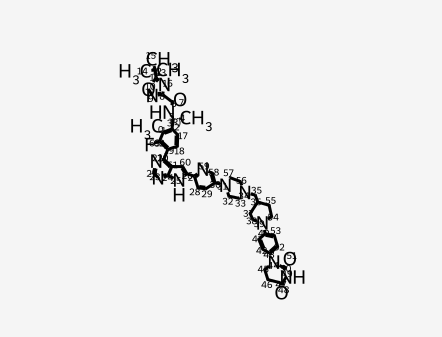 Cc1c([C@@H](C)NC(=O)c2noc(C(C)(C)C)n2)ccc(-c2ncnc3[nH]c(-c4ccc(N5CCN(CC6CCN(c7ccc(N8CCC(=O)NC8=O)cc7)CC6)CC5)cn4)cc23)c1F